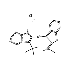 C[Si](C)=C1C=c2ccccc2=[C]1[Ti+2][c]1[nH]c2ccccc2c1C(C)(C)C.[Cl-].[Cl-]